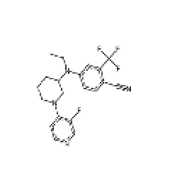 CCN(c1ccc(C#N)c(C(F)(F)F)c1)C1CCCN(c2ccncc2F)C1